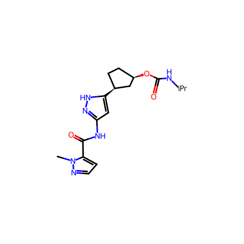 CC(C)NC(=O)O[C@@H]1CC[C@H](c2cc(NC(=O)c3ccnn3C)n[nH]2)C1